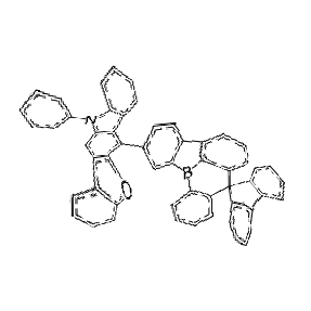 c1ccc(-n2c3ccccc3c3c(-c4ccc5c(c4)B4c6ccccc6C6(c7ccccc7-c7ccccc76)c6cccc-5c64)c4oc5ccccc5c4cc32)cc1